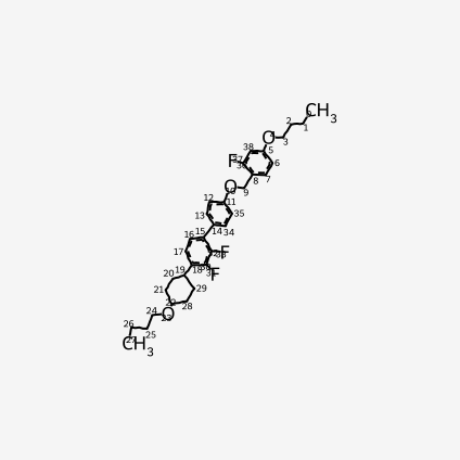 CCCCOc1ccc(COc2ccc(-c3ccc(C4CCC(OCCCC)CC4)c(F)c3F)cc2)c(F)c1